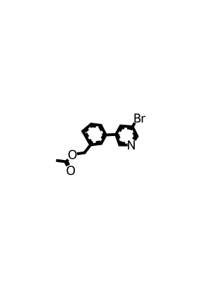 CC(=O)OCc1cccc(-c2cncc(Br)c2)c1